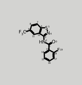 O=C(Nc1nsc2ccc(C(F)(F)F)cc12)c1ccccc1F